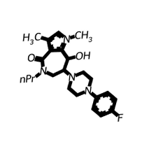 CCCN1CC(N2CCN(c3ccc(F)cc3)CC2)C(O)c2c(c(C)cn2C)C1=O